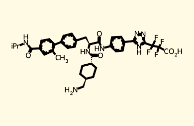 Cc1cc(C(=O)NC(C)C)ccc1-c1ccc(C[C@H](NC(=O)[C@H]2CC[C@H](CN)CC2)C(=O)Nc2ccc(-c3nnc(C(F)(F)C(F)(F)C(=O)O)[nH]3)cc2)cc1